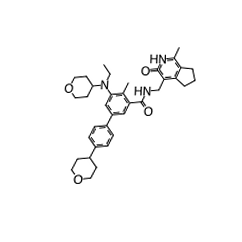 CCN(c1cc(-c2ccc(C3CCOCC3)cc2)cc(C(=O)NCc2c3c(c(C)[nH]c2=O)CCC3)c1C)C1CCOCC1